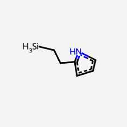 [SiH3]CCc1ccc[nH]1